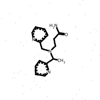 CC(c1ccccn1)N(CCC(N)=O)Cc1ccccn1